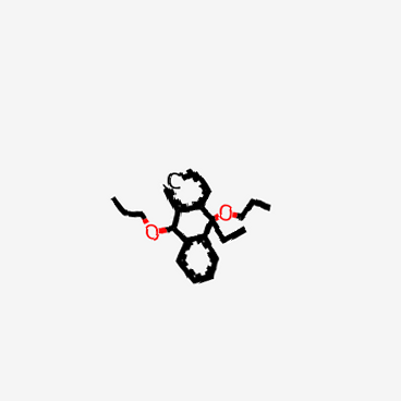 CCCOC1c2ccccc2C(CC)(OCCC)c2ccccc21